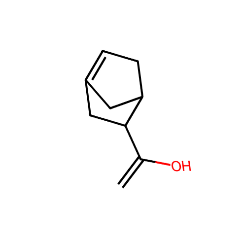 C=C(O)C1CC2=CCC1C2